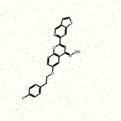 O/N=c1\cc(-c2cc3sccc3cn2)oc2ccc(OCCc3ccc(F)cc3)cc12